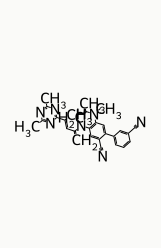 C=C(/C=C(\C)c1nc(C)nc(C)n1)Nc1cc(C#N)c(-c2cccc(C#N)c2)cc1N(C)C(=C)C